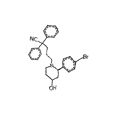 N#CC(CCCN1CCC(O)CC1c1ccc(Br)cc1)(c1ccccc1)c1ccccc1